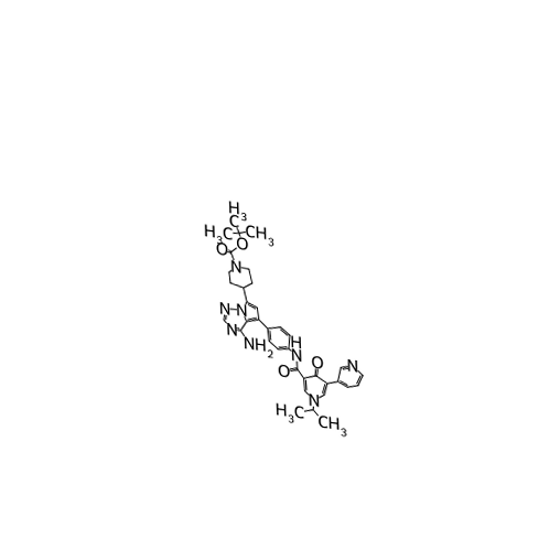 CC(C)n1cc(C(=O)Nc2ccc(-c3cc(C4CCN(C(=O)OC(C)(C)C)CC4)n4ncnc(N)c34)cc2)c(=O)c(-c2cccnc2)c1